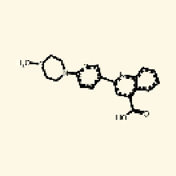 CN1CCN(c2ccc(-c3cc(C(=O)O)c4ccccc4n3)cn2)CC1